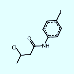 CC(Cl)CC(=O)Nc1ccc(I)cc1